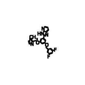 Cn1ccnc1COc1cc(OCc2cc(F)cc(F)c2)cc(-c2nc3cccnc3[nH]2)c1